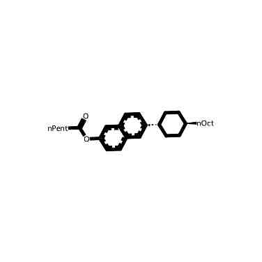 CCCCCCCC[C@H]1CC[C@H](c2ccc3cc(OC(=O)CCCCC)ccc3c2)CC1